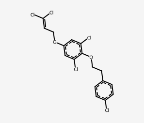 ClC(Cl)=CCOc1cc(Cl)c(OCCc2ccc(Cl)cc2)c(Cl)c1